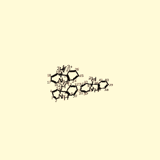 [2H]N1C=CC=CC1([2H])c1ccccc1.[2H]N1C=CC=CC1([2H])c1ccccc1.[2H]N1C=CC=CC1([2H])c1ccccc1.[Ir+3]